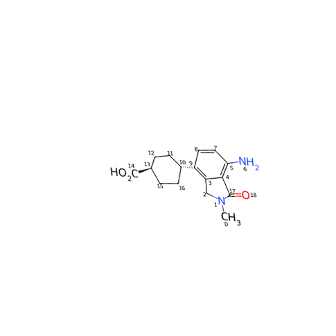 CN1Cc2c(c(N)ccc2[C@H]2CC[C@H](C(=O)O)CC2)C1=O